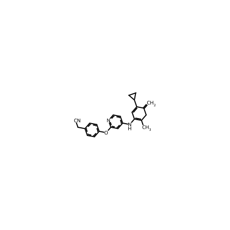 C=C1CC(C)=C(Nc2ccnc(Oc3ccc(CC#N)cc3)c2)C=C1C1CC1